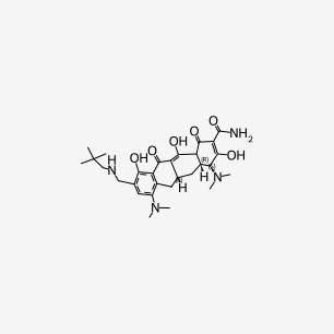 CN(C)c1cc(CNCC(C)(C)C)c(O)c2c1C[C@H]1C[C@@H]3C(C(=O)C(C(N)=O)=C(O)[C@H]3N(C)C)C(O)=C1C2=O